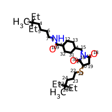 CCC(C)(CC)CCCCNC(=O)C1CCC(CN2C(=O)CC(SCCCC(C)(CC)CC)C2=O)CC1